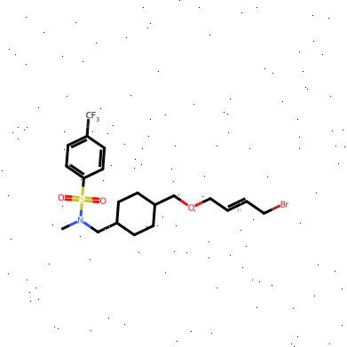 CN(CC1CCC(COC/C=C/CBr)CC1)S(=O)(=O)c1ccc(C(F)(F)F)cc1